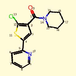 O=C(c1cc(-c2ccccn2)sc1Cl)N1CCCCC1